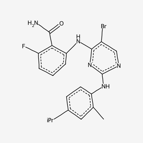 Cc1cc(C(C)C)ccc1Nc1ncc(Br)c(Nc2cccc(F)c2C(N)=O)n1